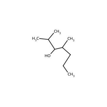 CCCC(C)C(O)C(C)C